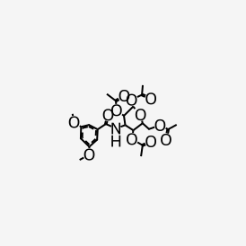 COc1cc(OC)cc(C(=O)NC2C(OC(C)=O)C(COC(C)=O)OC(OC(C)=O)C2OC(C)=O)c1